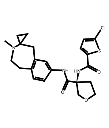 CN1CCc2ccc(NC(=O)[C@]3(NC(=O)c4ccc(Cl)s4)CCOC3)cc2CC12CC2